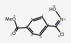 COC(=O)c1ccc(/C(Cl)=N\O)cc1